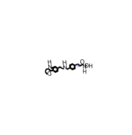 O=C(/C=C/c1ccc(CNCCc2ccc3c4c([nH]c3c2)CCCO4)cc1)NO